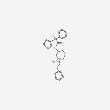 C[N@+]1(CCc2cncnc2)CCCC(OC(=O)C(O)(c2ccccc2)c2ccccc2)C1